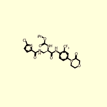 CC(C)OC(=O)N[C@H](CNC(=O)c1ccc(Cl)s1)C(=O)Nc1ccc(N2CCOCC2=O)cc1C(F)(F)F